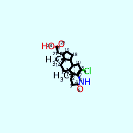 C[C@]12CCC(=O)NC1=C(Cl)CC1C2CC[C@@]2(C)C1CC[C@@H]2CC(=O)O